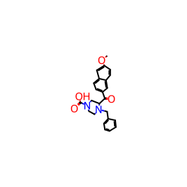 COc1ccc2cc(C(=O)C3CN(C(=O)O)CCN3Cc3ccccc3)ccc2c1